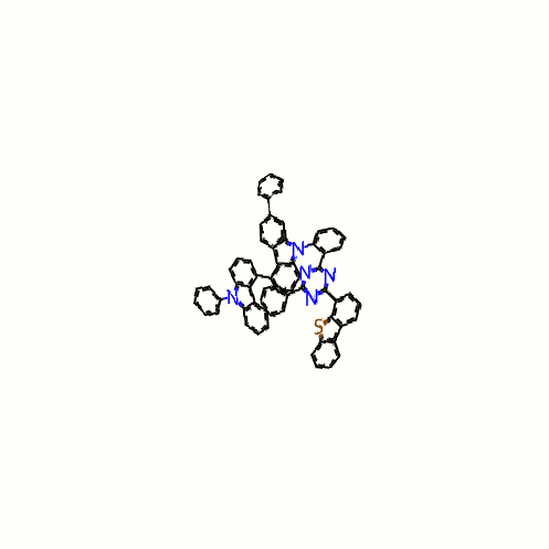 c1ccc(-c2ccc3c4c(-c5cccc6c5c5ccccc5n6-c5ccccc5)cccc4n(-c4ccccc4-c4nc(-c5ccccc5)nc(-c5cccc6c5sc5ccccc56)n4)c3c2)cc1